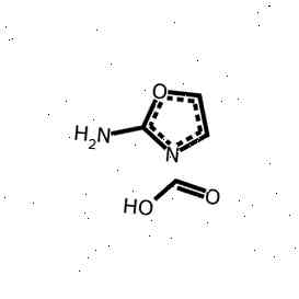 Nc1ncco1.O=CO